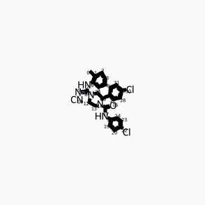 Cc1ccccc1N/C(=N/C#N)N1CCN(C(=O)Nc2ccc(Cl)cc2)C(c2ccc(Cl)cc2)C1